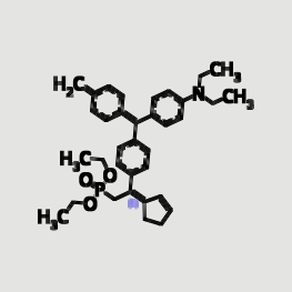 C=c1ccc(=C(c2ccc(/C(CP(=O)(OCC)OCC)=C3\C=CCC3)cc2)c2ccc(N(CC)CC)cc2)cc1